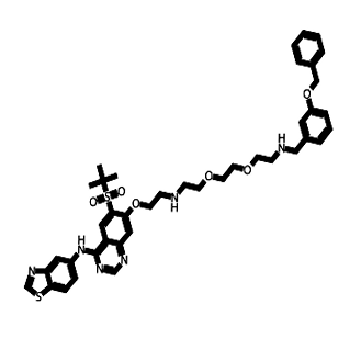 CC(C)(C)S(=O)(=O)c1cc2c(Nc3ccc4scnc4c3)ncnc2cc1OCCNCCOCCOCCNCc1cccc(OCc2ccccc2)c1